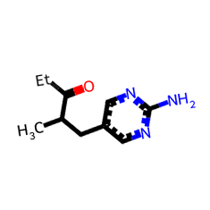 CCC(=O)C(C)Cc1cnc(N)nc1